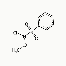 CON(Cl)S(=O)(=O)c1ccccc1